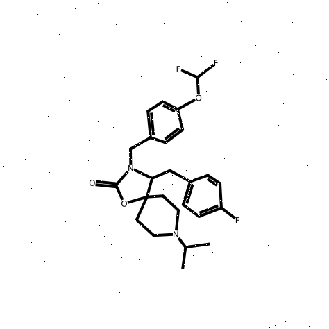 CC(C)N1CCC2(CC1)OC(=O)N(Cc1ccc(OC(F)F)cc1)C2Cc1ccc(F)cc1